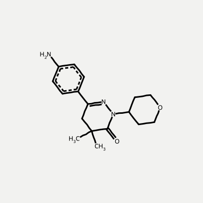 CC1(C)CC(c2ccc(N)cc2)=NN(C2CCOCC2)C1=O